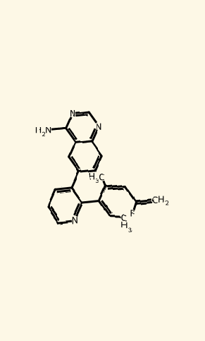 C=C(F)/C=C(C)\C(=C/C)c1ncccc1-c1ccc2ncnc(N)c2c1